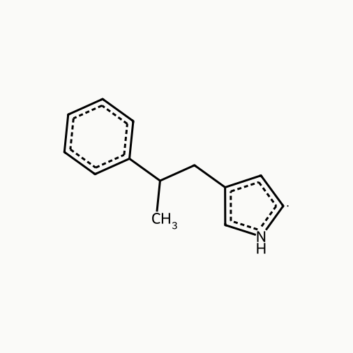 CC(Cc1c[c][nH]c1)c1ccccc1